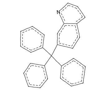 c1ccc(C(c2ccccc2)(c2ccccc2)c2ccc3cccnc3c2)cc1